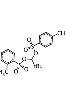 Cc1ccc(S(=O)(=O)OC(OS(=O)(=O)c2ccccc2C)C(C)(C)C)cc1